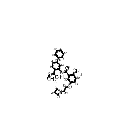 COC(=O)c1ccc(-c2ccccc2)cc1NC(=O)c1cc(OCCN2CCC2)ccc1C